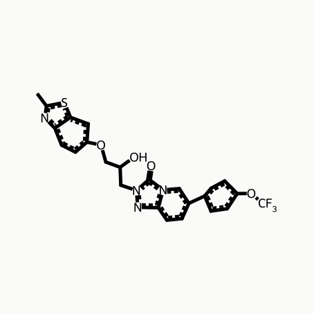 Cc1nc2ccc(OCC(O)Cn3nc4ccc(-c5ccc(OC(F)(F)F)cc5)cn4c3=O)cc2s1